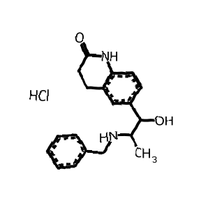 CC(NCc1ccccc1)C(O)c1ccc2c(c1)CCC(=O)N2.Cl